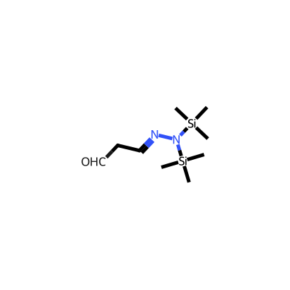 C[Si](C)(C)N(N=CCC=O)[Si](C)(C)C